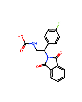 O=C(O)NCC(c1ccc(F)cc1)N1C(=O)c2ccccc2C1=O